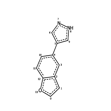 c1cc2cc(-c3cn[nH]c3)ccc2o1